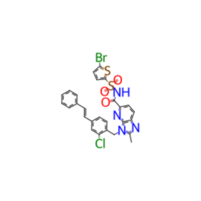 Cc1nc2ccc(C(=O)NS(=O)(=O)c3ccc(Br)s3)nc2n1Cc1ccc(C=Cc2ccccc2)cc1Cl